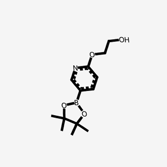 CC1(C)OB(c2ccc(OCCO)nc2)OC1(C)C